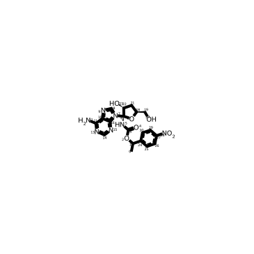 CC(OC(=O)N[C@@]1(n2cnc3c(N)ncnc32)O[C@H](CO)C[C@H]1O)c1ccc([N+](=O)[O-])cc1